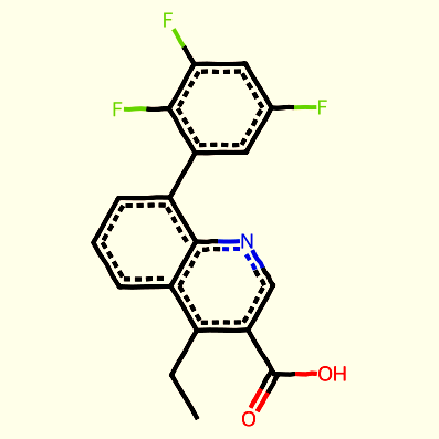 CCc1c(C(=O)O)cnc2c(-c3cc(F)cc(F)c3F)cccc12